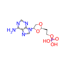 Nc1ncnc2c1ncn2[C@H]1CO[C@@H](CCOP(=O)(O)O)O1